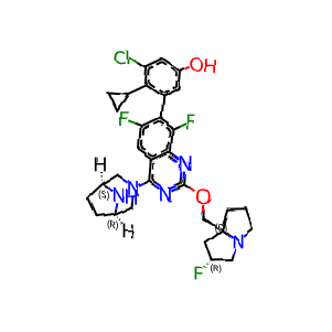 Oc1cc(Cl)c(C2CC2)c(-c2c(F)cc3c(N4C[C@H]5CC[C@@H](C4)N5)nc(OC[C@@]45CCCN4C[C@H](F)C5)nc3c2F)c1